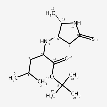 CC(C)CC(N[C@H]1CC(=S)N[C@H]1C)C(=O)OC(C)(C)C